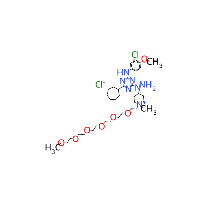 COCCOCCOCCOCCOCCOCC[N+]1(C)CCC(N(N)c2nc(Nc3ccc(OC)c(Cl)c3)nc(C3CCCCCC3)n2)CC1.[Cl-]